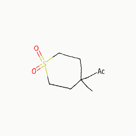 CC(=O)C1(C)CCS(=O)(=O)CC1